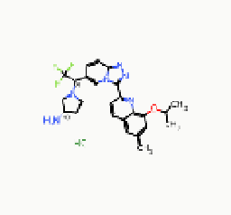 Cc1cc(OC(C)C)c2nc(-c3nnc4ccc([C@@H](N5CC[C@H](N)C5)C(F)(F)F)cn34)ccc2c1.Cl